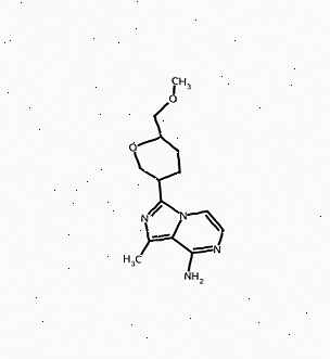 COCC1CCC(c2nc(C)c3c(N)nccn23)CO1